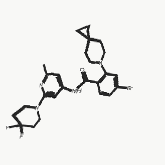 Cc1cc(NC(=O)c2ccc(Br)cc2N2CCC3(CC2)CC3)cc(N2CCC(F)(F)CC2)n1